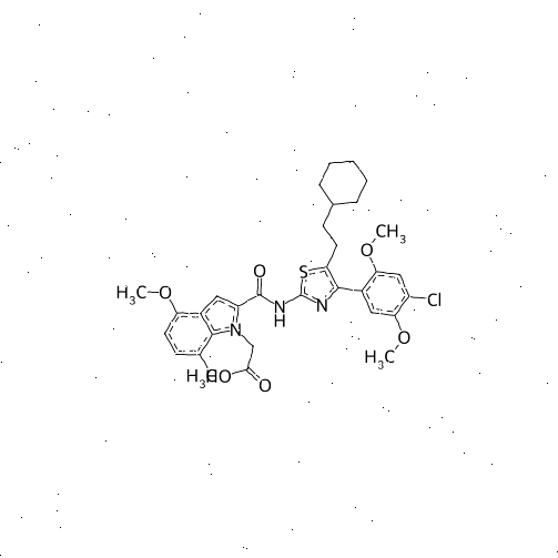 COc1cc(-c2nc(NC(=O)c3cc4c(OC)ccc(C)c4n3CC(=O)O)sc2CCC2CCCCC2)c(OC)cc1Cl